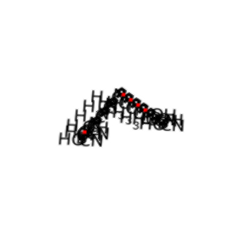 CN1CCCC1.CN1CCCC1.CN1CCCC1.CN1CCCC1.CN1CCCC1.CN1CCCC1.CN1CCCC1.CN1CCCC1.N#CB(O)O.N#CB(O)O.N#CB(O)O.N#CB(O)O